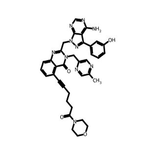 Cc1cnc(Cn2c(Cn3nc(-c4cccc(O)c4)c4c(N)ncnc43)nc3cccc(C#CCCCC(=O)N4CCOCC4)c3c2=O)cn1